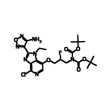 CCn1c(-c2nonc2N)nc2c(Cl)ncc(OCC(F)CN(C(=O)OC(C)(C)C)C(=O)OC(C)(C)C)c21